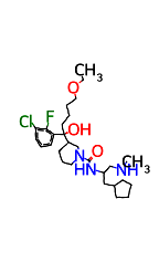 CCOCCCC[C@@](O)(c1cccc(Cl)c1F)[C@@H]1CCCN(C(=O)NC(CNC)CC2CCCC2)C1